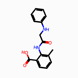 Cc1cccc(C(=O)O)c1NC(=O)CNc1ccccc1